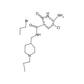 CCCBr.CCCN1CCC(CNC(=O)c2cc(Cl)c(N)[nH]c2=O)CC1